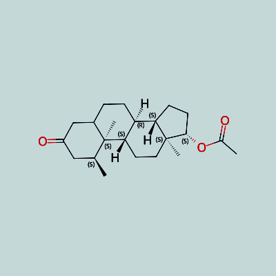 CC(=O)O[C@H]1CC[C@H]2[C@@H]3CCC4CC(=O)C[C@H](C)[C@]4(C)[C@H]3CC[C@]12C